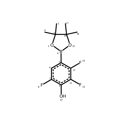 CC1(C)OB(c2cc(F)c(O)c(F)c2F)OC1(C)C